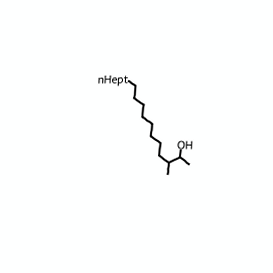 CCCCCCCCCCCCCCCC(C)C(C)O